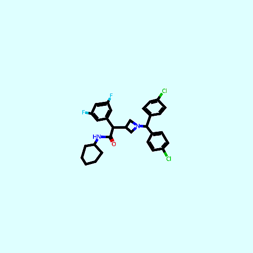 O=C(NC1CCCCC1)C(c1cc(F)cc(F)c1)C1CN(C(c2ccc(Cl)cc2)c2ccc(Cl)cc2)C1